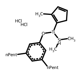 CCCCCc1cc(CCCCC)cc([O][Ti]([C]2=C(C)C=CC2)[SiH](C)C)c1.Cl.Cl